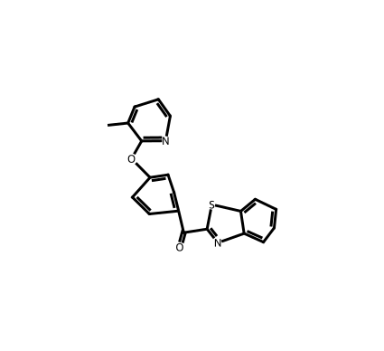 Cc1cccnc1Oc1ccc(C(=O)c2nc3ccccc3s2)cc1